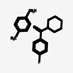 Cc1ccc(S(=O)(=O)O)cc1.O=C(c1ccc(F)cc1)N1CCCCC1